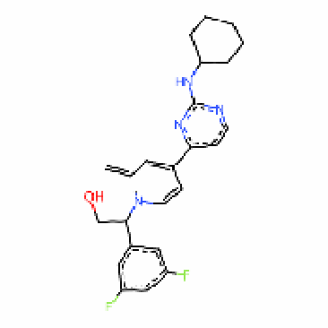 C=C/C=C(\C=C/N(C)C(CO)c1cc(F)cc(F)c1)c1ccnc(NC2CCCCC2)n1